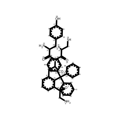 NCC(=O)c1cccc(CC(C(=O)O)N(C(=O)C(N)CS)C(=O)C(N)Cc2ccc(O)cc2)c1C(c1ccccc1)(c1ccccc1)c1ccccc1